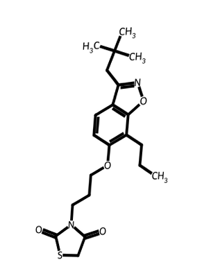 CCCc1c(OCCCN2C(=O)CSC2=O)ccc2c(CC(C)(C)C)noc12